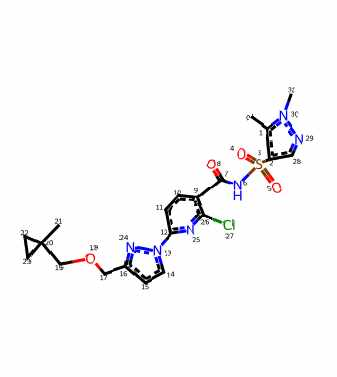 Cc1c(S(=O)(=O)NC(=O)c2ccc(-n3ccc(COCC4(C)CC4)n3)nc2Cl)cnn1C